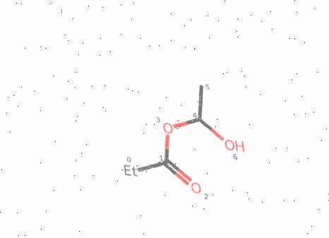 C[CH]C(=O)OC(C)O